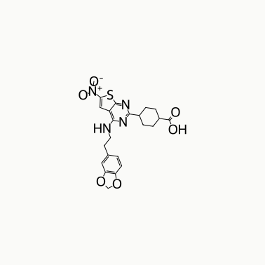 O=C(O)C1CCC(c2nc(NCCc3ccc4c(c3)OCO4)c3cc([N+](=O)[O-])sc3n2)CC1